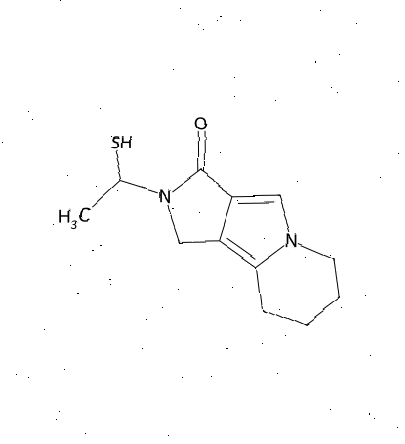 CC(S)N1Cc2c(cn3c2CCCC3)C1=O